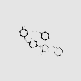 O=C1O[C@@H](CN2CCOCC2)[C@H](c2cccc(C(F)(F)F)c2)N1c1cnc(Oc2ccc(Cl)cc2)cn1